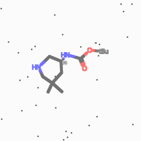 CC1(C)CNC[C@H](NC(=O)OC(C)(C)C)C1